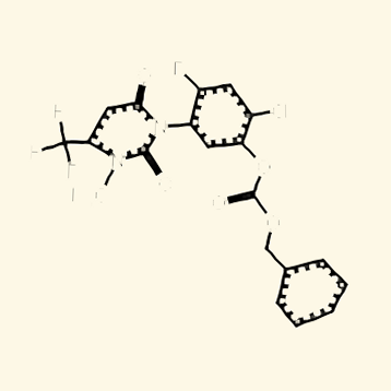 Cn1c(C(F)(F)F)cc(=O)n(-c2cc(OC(=O)OCc3ccccc3)c(Cl)cc2F)c1=O